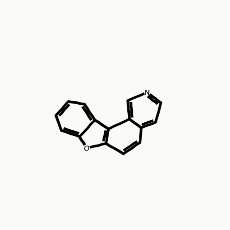 c1ccc2c(c1)oc1ccc3ccncc3c12